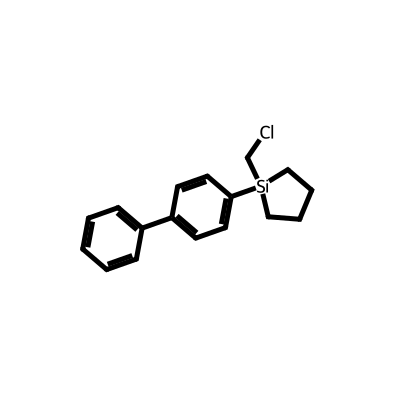 ClC[Si]1(c2ccc(-c3ccccc3)cc2)CCCC1